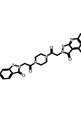 Cc1cc(C)c2c(=O)n(CC(=O)N3CCN(C(=O)Cn4sc5ccccc5c4=O)CC3)sc2n1